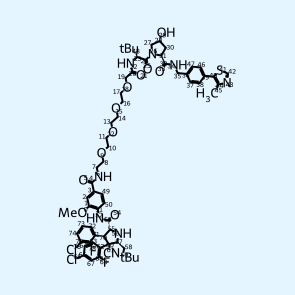 COc1cc(C(=O)NCCOCCOCCOCCOCC(=O)N[C@H](C(=O)N2C[C@H](O)C[C@H]2C(=O)NCc2ccc(-c3scnc3C)cc2)C(C)(C)C)ccc1NC(=O)[C@@H]1N[C@@H](CC(C)(C)C)[C@](C#N)(c2ccc(Cl)cc2F)[C@H]1c1cccc(Cl)c1F